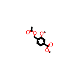 COC(=O)c1ccc(COC(C)=O)c(OC)c1